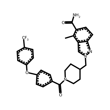 Cc1c(C(N)=O)ccc2nn(CC3CCN(C(=O)c4ccc(Oc5ccc(C(F)(F)F)cc5)cc4)CC3)cc12